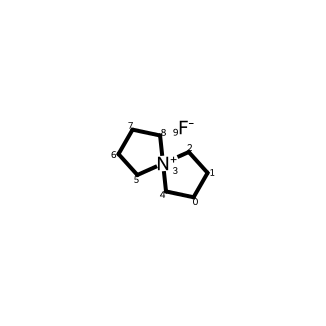 C1CC[N+]2(C1)CCCC2.[F-]